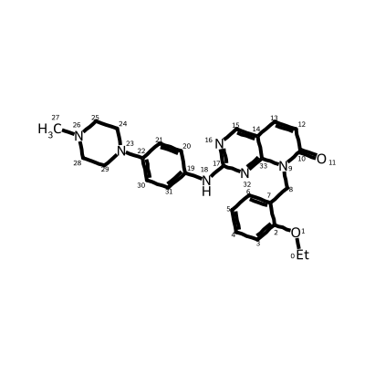 CCOc1ccccc1Cn1c(=O)ccc2cnc(Nc3ccc(N4CCN(C)CC4)cc3)nc21